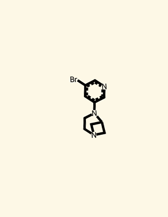 Brc1cncc(N2CCN3CC2C3)c1